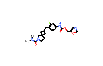 CN(C)C(=O)N1CCC2(CC(Cc3ccc(NC(=O)OCc4cnco4)cc3F)C2)C1